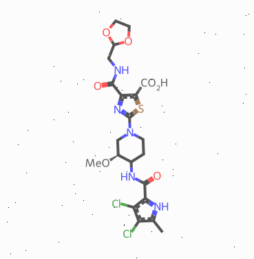 CO[C@H]1CN(c2nc(C(=O)NCC3OCCO3)c(C(=O)O)s2)CCC1NC(=O)c1[nH]c(C)c(Cl)c1Cl